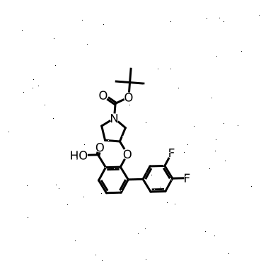 CC(C)(C)OC(=O)N1CCC(Oc2c(C(=O)O)cccc2-c2ccc(F)c(F)c2)C1